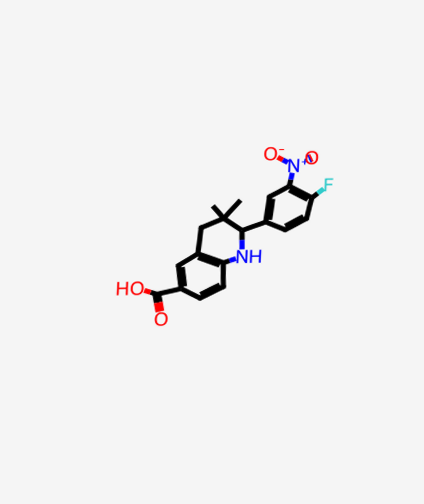 CC1(C)Cc2cc(C(=O)O)ccc2NC1c1ccc(F)c([N+](=O)[O-])c1